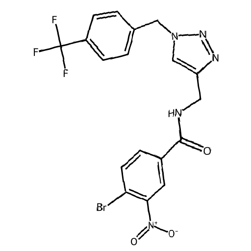 O=C(NCc1cn(Cc2ccc(C(F)(F)F)cc2)nn1)c1ccc(Br)c([N+](=O)[O-])c1